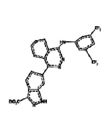 CCOC(=O)c1n[nH]c2cc(-c3nnc(Nc4cc(C(F)(F)F)cc(C(F)(F)F)c4)c4ccccc34)ccc12